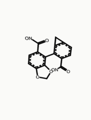 O=NC(=O)c1ccc2c(c1-c1c(C(=O)N=O)ccc3c1OCO3)C2